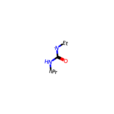 CCCNC(=O)[N]CC